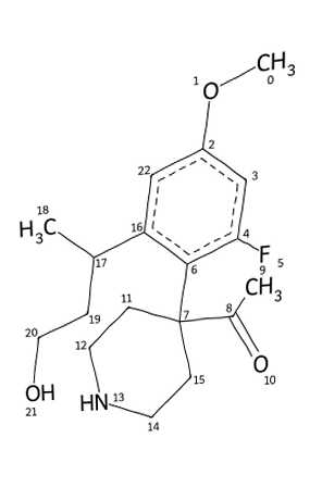 COc1cc(F)c(C2(C(C)=O)CCNCC2)c(C(C)CCO)c1